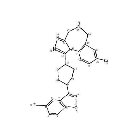 Fc1ccc2onc(C3CCC(c4nnc5n4-c4ccc(Cl)cc4CNC5)CC3)c2c1